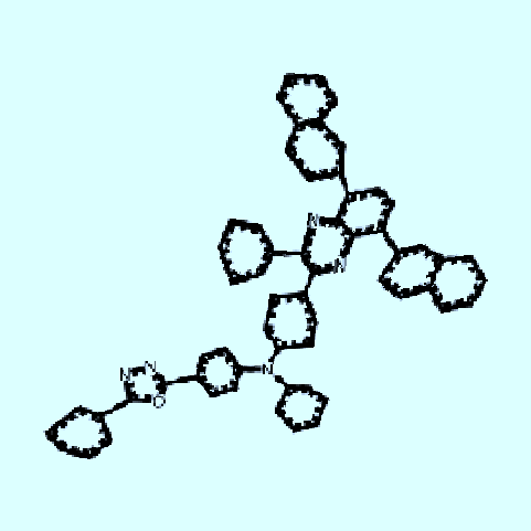 c1ccc(-c2nnc(-c3ccc(N(c4ccccc4)c4ccc(-c5nc6c(-c7ccc8ccccc8c7)ccc(-c7ccc8ccccc8c7)c6nc5-c5ccccc5)cc4)cc3)o2)cc1